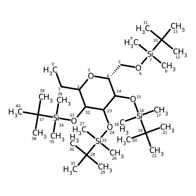 CCC1O[C@H](CO[Si](C)(C)C(C)(C)C)C(O[Si](C)(C)C(C)(C)C)C(O[Si](C)(C)C(C)(C)C)C1O[Si](C)(C)C(C)(C)C